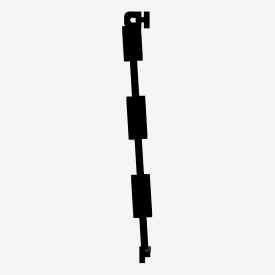 C#CC#CC#CF